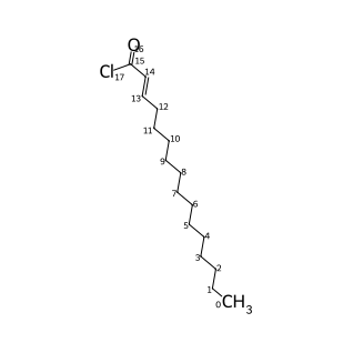 CCCCCCCCCCCCCC=CC(=O)Cl